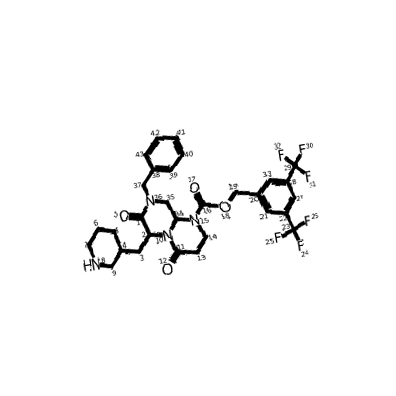 O=C1C(CC2CCCNC2)N2C(=O)CCN(C(=O)OCc3cc(C(F)(F)F)cc(C(F)(F)F)c3)C2CN1Cc1ccccc1